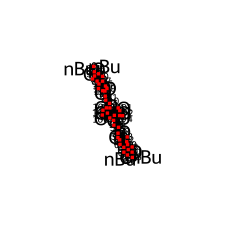 CCCCC(CCCC)N1C(=O)c2ccc3c4ccc5c6c(ccc(c7ccc(c2c37)C1=O)c64)C(=O)N(CCc1ccc(Oc2cc3c4c(ccc6c7c(Oc8ccc(CCN9C(=O)c%10ccc%11c%12ccc%13c%14c(ccc(c%15ccc(c%10c%11%15)C9=O)c%14%12)C(=O)N(C(CCCC)CCCC)C%13=O)cc8)cc8c9c(ccc(c2c46)c97)C(=O)OC8=O)C(=O)OC3=O)cc1)C5=O